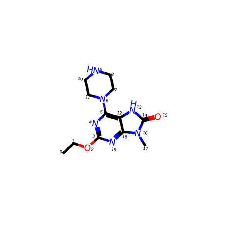 CCOc1nc(N2CCNCC2)c2[nH]c(=O)n(C)c2n1